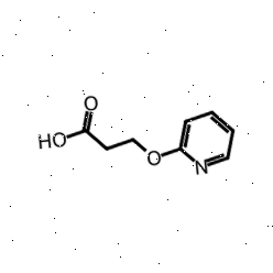 O=C(O)CCOc1ccccn1